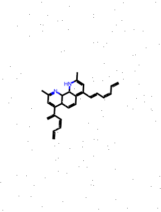 C=C/C=C\C=C\C1=C2C=CC3C(C(=C)/C=C\C=C)=CC(C)=NC3C2NC(C)=C1